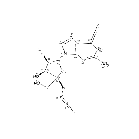 [N-]=[N+]=NC[C@]1(CO)O[C@@H](n2cnc3c(=O)[nH]c(N)nc32)[C@H](F)[C@@H]1O